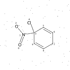 O=[N+]([O-])C1(Cl)C=C[CH]C=C1